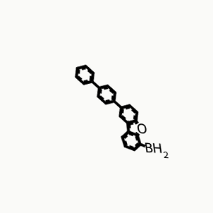 Bc1cccc2c1oc1ccc(-c3ccc(-c4ccccc4)cc3)cc12